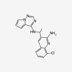 CC(Nc1ncnn2cccc12)c1cc2cccc(Cl)c2nc1N